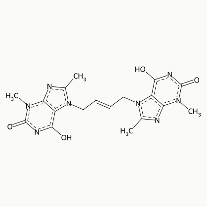 Cc1nc2c(c(O)nc(=O)n2C)n1C/C=C/Cn1c(C)nc2c1c(O)nc(=O)n2C